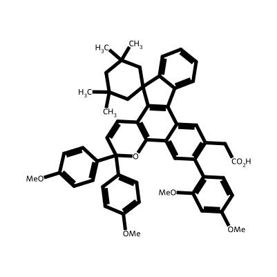 COc1ccc(C2(c3ccc(OC)cc3)C=Cc3c4c(c5cc(CC(=O)O)c(-c6ccc(OC)cc6OC)cc5c3O2)-c2ccccc2C42CC(C)(C)CC(C)(C)C2)cc1